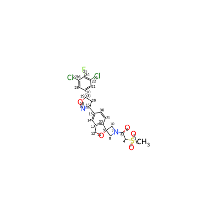 CS(=O)(=O)CC(=O)N1CC2(C1)OCc1cc(C3=NO[C@H](c4cc(Cl)c(F)c(Cl)c4)C3)ccc12